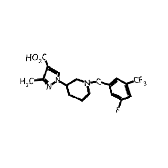 Cc1nn(C2CCCN(Cc3cc(F)cc(C(F)(F)F)c3)C2)cc1C(=O)O